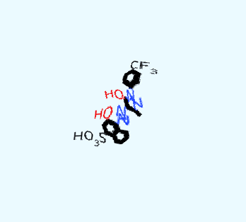 Cc1nn(-c2ccc(C(F)(F)F)cc2)c(O)c1N=Nc1c(O)cc(S(=O)(=O)O)c2ccccc12